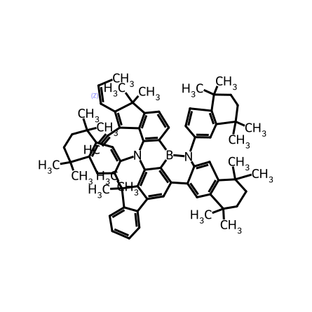 C#CC1=C(/C=C\C)C(C)(C)c2ccc3c(c21)N(C1=CC2=C(CC1C)C(C)(C)CCC2(C)C)c1c2c(cc4c1C(C)(C)c1ccccc1-4)-c1cc4c(cc1N(c1ccc5c(c1)C(C)(C)CCC5(C)C)B32)C(C)(C)CCC4(C)C